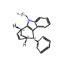 Cn1c2c(c3ccccc31)[C@@H](c1ccccc1)[C@@H]1C=C[C@H]2C1